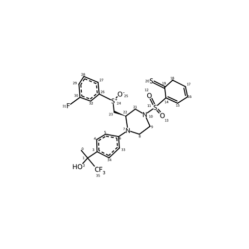 CC(O)(c1ccc(N2CCN(S(=O)(=O)C3=CC=CCC3=S)C[C@@H]2C[S+]([O-])c2cccc(F)c2)cc1)C(F)(F)F